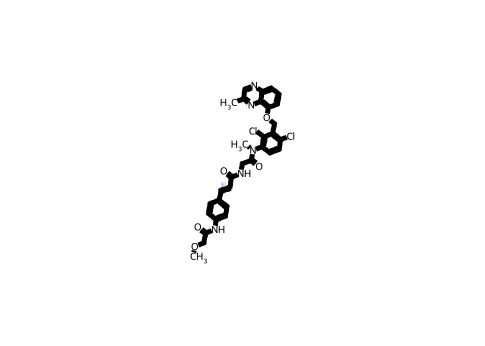 COCC(=O)Nc1ccc(/C=C/C(=O)NCC(=O)N(C)c2ccc(Cl)c(COc3cccc4ncc(C)nc34)c2Cl)cc1